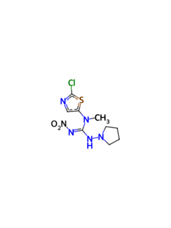 CN(C(=N[N+](=O)[O-])NN1CCCC1)c1cnc(Cl)s1